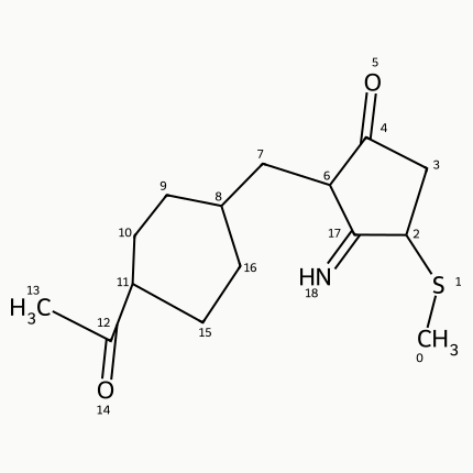 CSC1CC(=O)C(CC2CCC(C(C)=O)CC2)C1=N